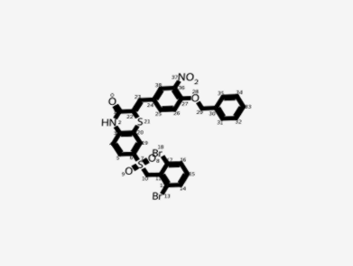 O=C1Nc2ccc(S(=O)(=O)Cc3c(Br)cccc3Br)cc2SC1=Cc1ccc(OCc2ccccc2)c([N+](=O)[O-])c1